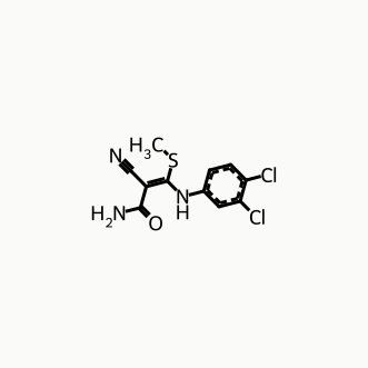 CS/C(Nc1ccc(Cl)c(Cl)c1)=C(\C#N)C(N)=O